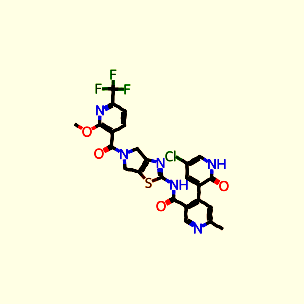 COc1nc(C(F)(F)F)ccc1C(=O)N1Cc2nc(NC(=O)c3cnc(C)cc3-c3cc(Cl)c[nH]c3=O)sc2C1